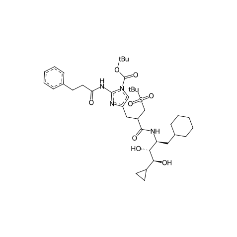 CC(C)(C)OC(=O)n1cc(CC(CS(=O)(=O)C(C)(C)C)C(=O)N[C@@H](CC2CCCCC2)[C@@H](O)[C@@H](O)C2CC2)nc1NC(=O)CCc1ccccc1